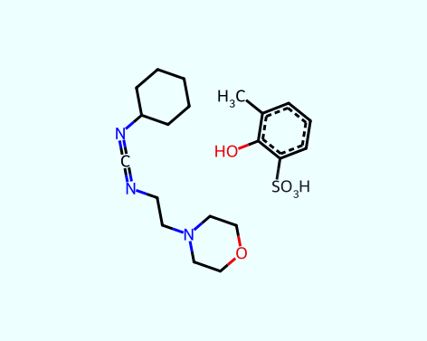 C(=NCCN1CCOCC1)=NC1CCCCC1.Cc1cccc(S(=O)(=O)O)c1O